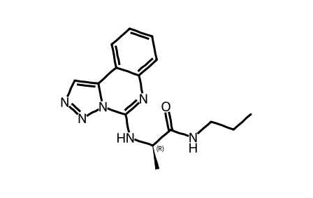 CCCNC(=O)[C@@H](C)Nc1nc2ccccc2c2cnnn12